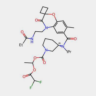 CCC(=O)NCCN1C(=O)C2(CCC2)Oc2cc(C)c(C(=O)N(C(C)C)[C@@H]3CCCN(C(=O)OC(C)OC(=O)C(F)F)C3)cc21